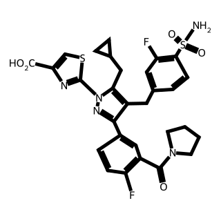 NS(=O)(=O)c1ccc(Cc2c(-c3ccc(F)c(C(=O)N4CCCC4)c3)nn(-c3nc(C(=O)O)cs3)c2CC2CC2)cc1F